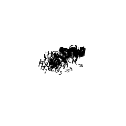 CC[C@H](C)[C@@H]([C@@H](CC(=O)N1CCC[C@H]1[C@H](OC)[C@@H](C)C(=O)N[C@@H](Cc1ccccc1)C(=O)NNC(=O)c1ccccc1)OC)N(C)C(=O)[C@@H](NC(=O)[C@@H](C(C)C)C(NC(=O)O)C(C)(C)C)C(C)C